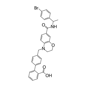 CC(NC(=O)c1ccc2c(c1)OCCN2Cc1ccc(-c2ccccc2C(=O)O)cc1)c1ccc(Br)cc1